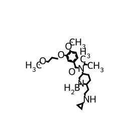 BN1CC(N(C(=O)c2ccc(OC)c(OCCCOC)c2)C(C)C)CCC1CCNC1CC1